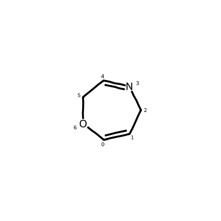 [C]1=CCN=CCO1